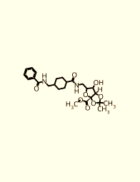 COC(=O)[C@@]12OC(CNC(=O)C3CCC(CNC(=O)c4ccccc4)CC3)C(O)[C@@H]1OC(C)(C)O2